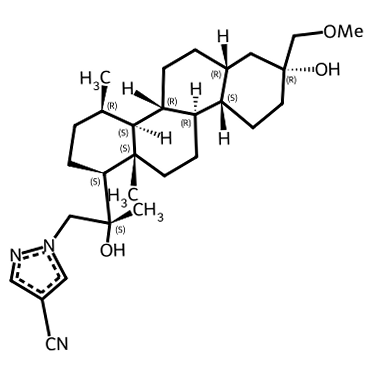 COC[C@@]1(O)CC[C@H]2[C@H](CC[C@@H]3[C@@H]2CC[C@@]2(C)[C@H]3[C@H](C)CC[C@@H]2[C@](C)(O)Cn2cc(C#N)cn2)C1